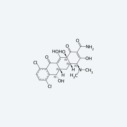 CN(C)[C@@H]1C(O)=C(C(N)=O)C(=O)[C@@]2(O)C(O)=C3C(=O)c4c(Cl)ccc(Cl)c4[C@@H](O)[C@H]3C[C@@H]12